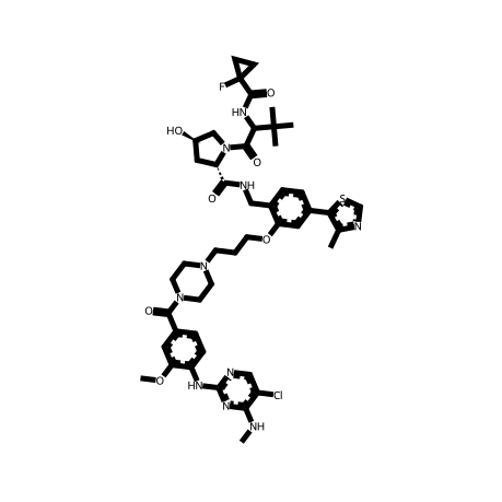 CNc1nc(Nc2ccc(C(=O)N3CCN(CCCOc4cc(-c5scnc5C)ccc4CNC(=O)[C@@H]4C[C@@H](O)CN4C(=O)C(NC(=O)C4(F)CC4)C(C)(C)C)CC3)cc2OC)ncc1Cl